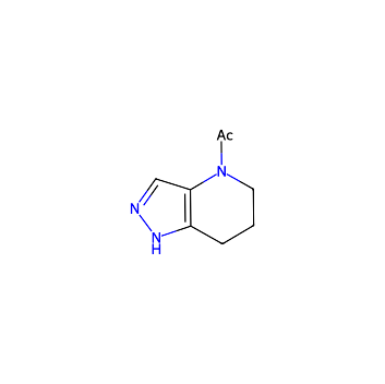 CC(=O)N1CCCc2[nH]ncc21